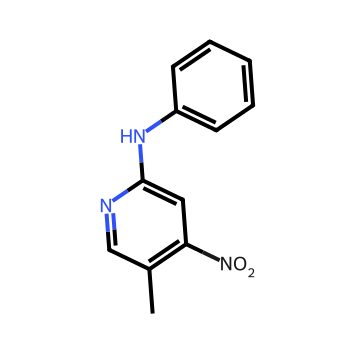 Cc1cnc(Nc2ccccc2)cc1[N+](=O)[O-]